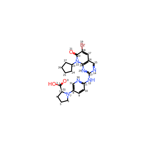 O=C(O)[C@@H]1CCCN1c1ccc(Nc2ncc3cc(Br)c(=O)n(C4CCCC4)c3n2)nc1